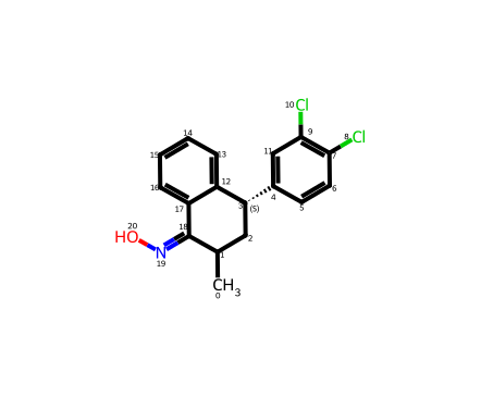 CC1C[C@@H](c2ccc(Cl)c(Cl)c2)c2ccccc2C1=NO